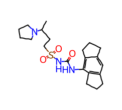 CC(CCS(=O)(=O)NC(=O)Nc1c2c(cc3c1CCC3)CCC2)N1CCCC1